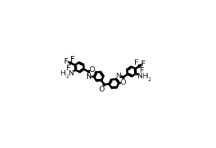 Nc1cc(-c2nc3cc(C(=O)c4ccc5oc(-c6ccc(C(F)(F)F)c(N)c6)nc5c4)ccc3o2)ccc1C(F)(F)F